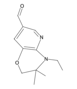 CCN1c2ncc(C=O)cc2OCC1(C)C